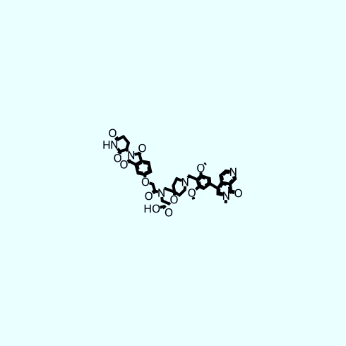 COc1cc(-c2cn(C)c(=O)c3cnccc23)cc(OC)c1CN1CCC2(CC1)CN(C(=O)COc1ccc3c(c1)C(=O)N(C1CCC(=O)NC1=O)C3=O)CCO2.O=CO